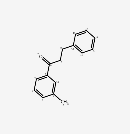 Cc1cccc(C(=O)CCc2ccccc2)c1